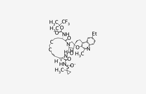 CCc1ccc2nc(C)c3c(c2c1)CC[C@]1(C[C@H]2C(=O)N[C@]4(C(=O)N[S@+]([O-])C5(C)CC5)C[C@H]4/C=C\CCCCC[C@H](NC(=O)OC(C)(C)C(F)(F)F)C(=O)N2C1)O3